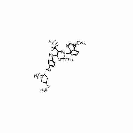 COC(=O)c1nc(-c2cccc3c2ncn3C)c(C)nc1Nc1ccc(OC[C@@H]2C[C@@H](OC)CN2C)cc1